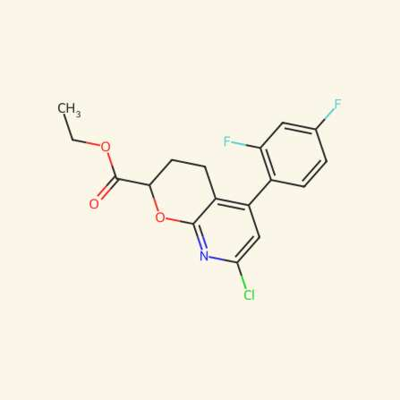 CCOC(=O)C1CCc2c(-c3ccc(F)cc3F)cc(Cl)nc2O1